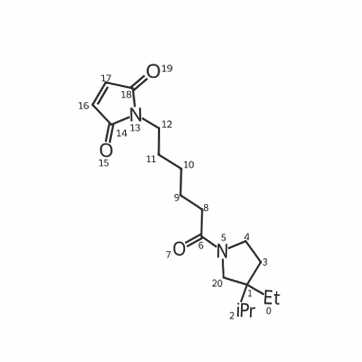 CCC1(C(C)C)CCN(C(=O)CCCCCN2C(=O)C=CC2=O)C1